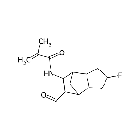 C=C(C)C(=O)NC1C(C=O)C2CC1C1CC(F)CC21